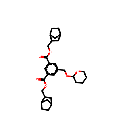 O=C(OCC1CC2CCC1C2)c1cc(COC2CCCCO2)cc(C(=O)OCC2CC3CCC2C3)c1